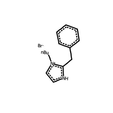 CCCC[n+]1cc[nH]c1Cc1ccccc1.[Br-]